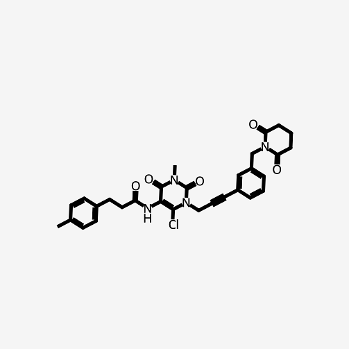 Cc1ccc(CCC(=O)Nc2c(Cl)n(CC#Cc3cccc(CN4C(=O)CCCC4=O)c3)c(=O)n(C)c2=O)cc1